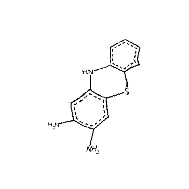 Nc1[c]c2c(cc1N)Sc1ccccc1N2